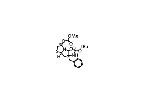 COC(=O)O[C@@H]1CS[C@H]2C[C@@](Cc3ccccc3)(NC(=O)OC(C)(C)C)C(=O)N21